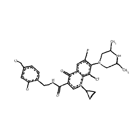 CC1CN(c2c(F)cc3c(=O)c(C(=O)NCc4ccc(Cl)cc4Cl)cn(C4CC4)c3c2Cl)CC(C)N1